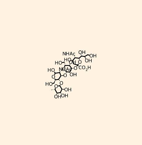 CC(=O)N[C@@H]1[C@H]([C@H](O)[C@H](O)CO)O[C@@](O[C@H]2[C@@H](O)[C@@H](CO)O[C@@H](O[C@H]3[C@H](O[C@@H]4O[C@@H](C)[C@@H](O)[C@@H](O)[C@@H]4O)[C@@H](CO)OC(O)[C@@H]3NC(C)=O)[C@@H]2O)(C(=O)O)C[C@@H]1O